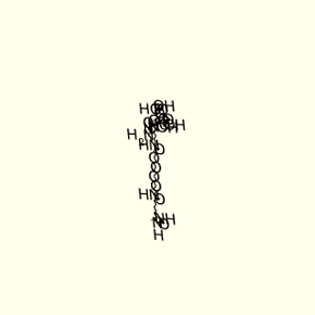 C[C@@H]1NC(=O)N[C@@H]1CCCCCC(=O)NCCOCCOCCOCCOCCC(=O)NCCCc1cn(C2OC(COP(=O)(O)O)C(OP(=O)(O)O)C2O)c(=O)nc1N